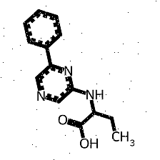 CCC(Nc1cncc(-c2ccccc2)n1)C(=O)O